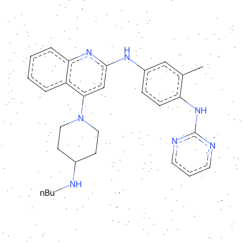 CCCCNC1CCN(c2cc(Nc3ccc(Nc4ncccn4)c(C)c3)nc3ccccc23)CC1